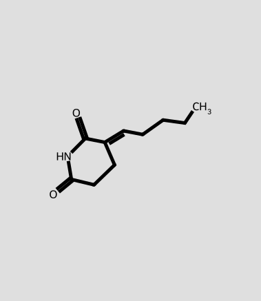 CCCCC=C1CCC(=O)NC1=O